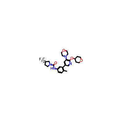 Cc1ccc(NC(=O)N2CC[C@@H](C(F)(F)F)C2)cc1-c1cnc(OC2CCOCC2)c(N2CCOCC2)c1